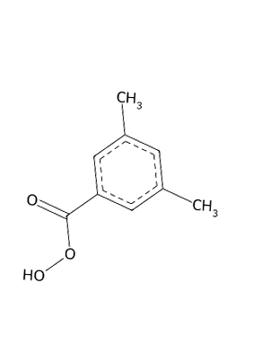 Cc1cc(C)cc(C(=O)OO)c1